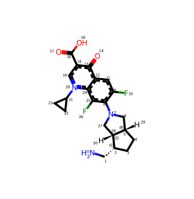 NC[C@H]1CC[C@H]2CN(c3c(F)cc4c(=O)c(C(=O)O)cn(C5CC5)c4c3F)C[C@@H]12